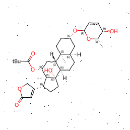 C[C@@H]1O[C@@H](O[C@H]2CC[C@@]3(C)[C@H](CC[C@@H]4[C@@H]3C[C@@H](OC(=O)C(C)(C)C)[C@]3(C)[C@@H](C5=CC(=O)OC5)CC[C@]43O)C2)C=C[C@H]1O